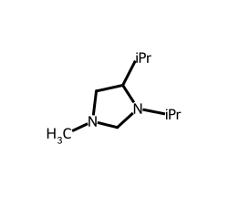 CC(C)C1CN(C)CN1C(C)C